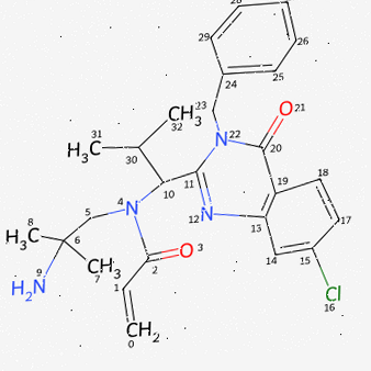 C=CC(=O)N(CC(C)(C)N)C(c1nc2cc(Cl)ccc2c(=O)n1Cc1ccccc1)C(C)C